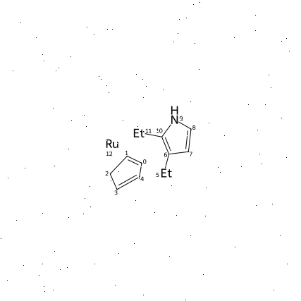 C1=CCC=C1.CCc1cc[nH]c1CC.[Ru]